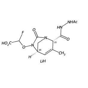 CC(=O)NNC(=O)[C@@H]1C(C)=C[C@@H]2CN1C(=O)N2OC(F)C(=O)O.[LiH]